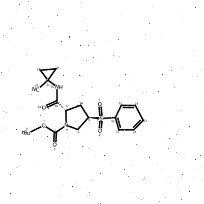 CC(C)(C)OC(=O)N1C[C@H](S(=O)(=O)c2ccccc2)C[C@H]1C(=O)NC1(C#N)CC1